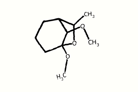 COC1C2CCCC1(OC)OC2C